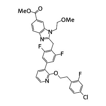 COCCn1c(Cc2c(F)cc(-c3cccnc3OCCc3ccc(Cl)cc3F)cc2F)nc2ccc(C(=O)OC)cc21